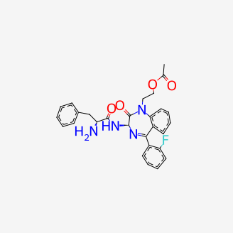 CC(=O)OCCN1C(=O)[C@H](NC(=O)[C@@H](N)Cc2ccccc2)N=C(c2ccccc2F)c2ccccc21